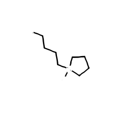 C[N+]1(CCCCS)CCCC1